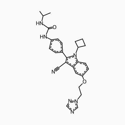 CC(C)NC(=O)Nc1ccc(-c2c(C#N)c3cc(OCCn4cncn4)ccc3n2C2CCC2)cc1